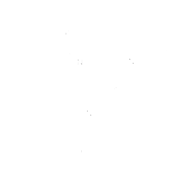 O=C(C1=CC=CCC1=S)N(CCN1CCOCC1)CC(=S)N1CCOCC1